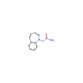 NC(=O)CN1N=CC=Cc2ccccc21